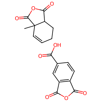 CC12C=CCCC1C(=O)OC2=O.O=C(O)c1ccc2c(c1)C(=O)OC2=O